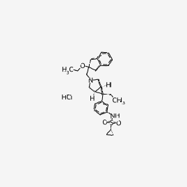 CCOC1(CN2C[C@@H]3[C@H](C2)C3(CC)c2cccc(NS(=O)(=O)C3CC3)c2)Cc2ccccc2C1.Cl